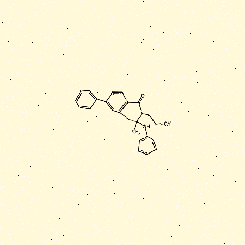 O=C1c2ccc(-c3ccccc3)cc2CC(Nc2ccccc2)(C(F)(F)F)N1CCO